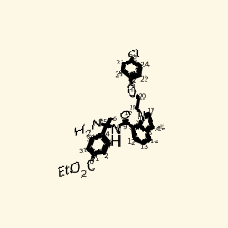 CCOC(=O)c1ccc(C(C)(N)NC(=O)c2cccc3ccn(CCOc4ccc(Cl)cc4)c23)cc1